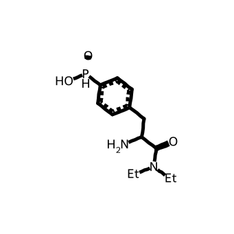 CCN(CC)C(=O)C(N)Cc1ccc([PH](=O)O)cc1